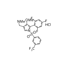 CNCc1cn(S(=O)(=O)c2cccc(C(F)(F)F)c2)c(-c2c(F)cc(F)cc2F)c1OC.Cl